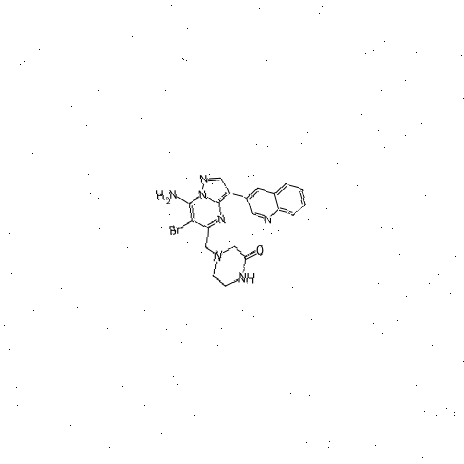 Nc1c(Br)c(CN2CCNC(=O)C2)nc2c(-c3cnc4ccccc4c3)cnn12